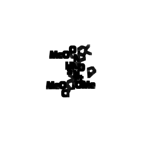 C1CC2CC2C1.CCC1(c2cc(OC)c(Cl)cc2OC)CSC(NC(=O)c2cc3c(C)c(C)ccc3n2CC(=O)OC)=N1